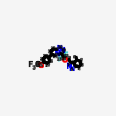 CC1C=CC=C2N=NC(COC(F)(F)c3nnc4ccc(-c5ccc(OC(F)(F)F)cc5)cn34)=C21